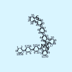 c1ccc(-c2ccc(-c3ccc(-c4nc(-n5c6ccccc6c6cc(-c7ccc(-c8ccc9sc%10ccccc%10c9c8)cc7)ccc65)nc5ccccc45)cc3)cc2)cc1